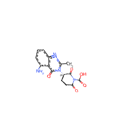 Cc1nc2cccc(N)c2c(=O)n1[C@H]1CCC(=O)N(C(=O)O)C1=O